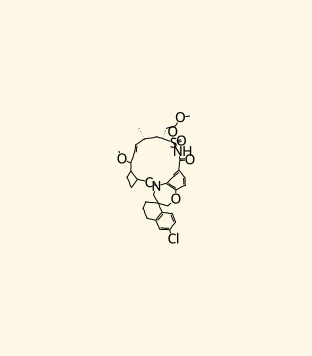 COCC[C@H]1C[C@@H](C)/C=C/C(OC)C2CCC2CN2CC3(CCCc4cc(Cl)ccc43)COc3ccc(cc32)C(=O)NS1(=O)=O